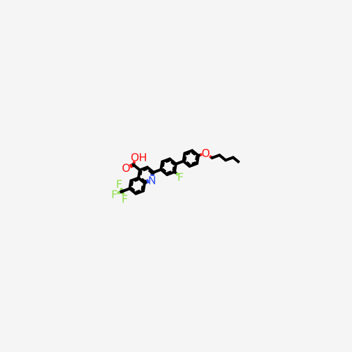 CCCCCOc1ccc(-c2ccc(-c3cc(C(=O)O)c4cc(C(F)(F)F)ccc4n3)cc2F)cc1